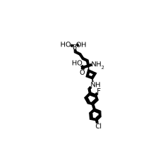 NC(CCCCB(O)O)(C(=O)O)[C@H]1C[C@@H](NCc2ccc(-c3ccc(Cl)cc3)cc2F)C1